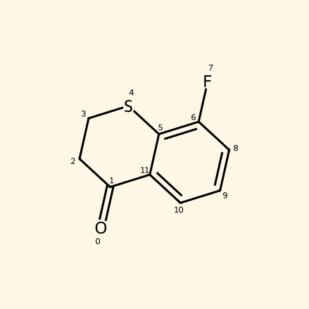 O=C1CCSc2c(F)cccc21